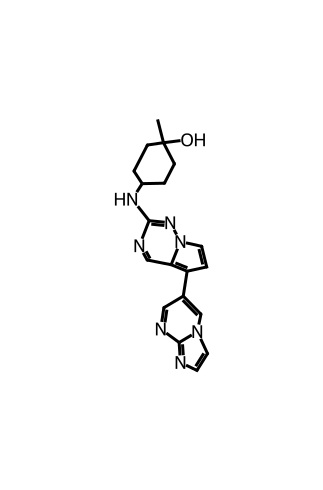 CC1(O)CCC(Nc2ncc3c(-c4cnc5nccn5c4)ccn3n2)CC1